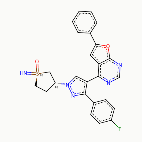 N=[S@@]1(=O)CC[C@@H](n2cc(-c3ncnc4oc(-c5ccccc5)cc34)c(-c3ccc(F)cc3)n2)C1